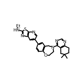 CCNc1nc2cc(-c3ccc4c(c3)CN(c3ncnc5c3CC(C)(C)CC5)CCO4)cnc2s1